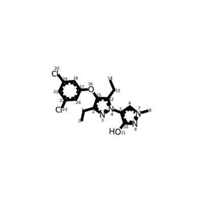 CCc1nn(-c2cn(C)nc2O)c(CC)c1Oc1cc(Cl)cc(Cl)c1